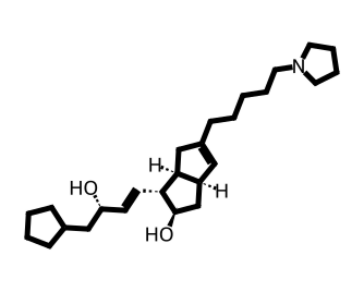 O[C@H](/C=C/[C@@H]1[C@H]2CC(CCCCCN3CCCC3)=C[C@H]2C[C@H]1O)CC1CCCC1